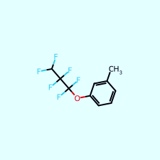 Cc1cccc(OC(F)(F)C(F)(F)C(F)F)c1